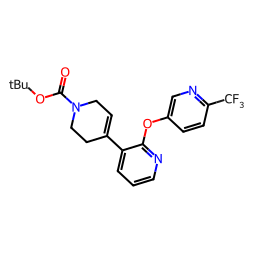 CC(C)(C)OC(=O)N1CC=C(c2cccnc2Oc2ccc(C(F)(F)F)nc2)CC1